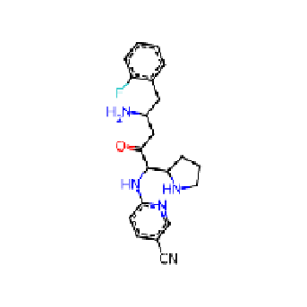 N#Cc1ccc(NC(C(=O)CC(N)Cc2ccccc2F)C2CCCN2)nc1